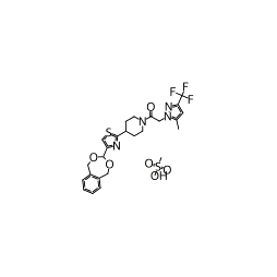 CS(=O)(=O)O.Cc1cc(C(F)(F)F)nn1CC(=O)N1CCC(c2nc(C3OCc4ccccc4CO3)cs2)CC1